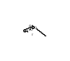 CCCCCCCCCCCCOc1ccc(C(=O)N(CCCc2cccc[n+]2CC)C(C)=O)c(C)c1.[I-]